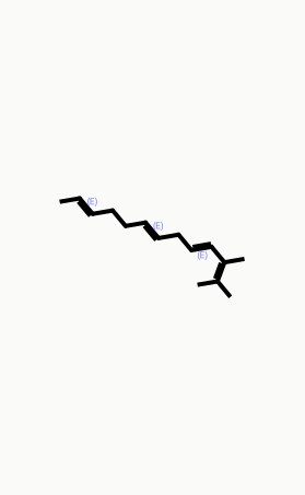 C/C=C/CC/C=C/C/C=C/C(C)=C(C)C